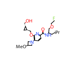 COC1CN(c2ccc(C(=O)NC(COCCF)CC(C)C)nc2OC[C@H]2C[C@@H]2CO)C1